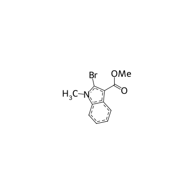 COC(=O)c1c(Br)n(C)c2ccccc12